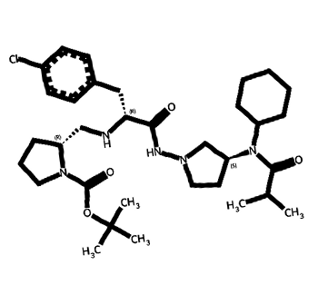 CC(C)C(=O)N(C1CCCCC1)[C@H]1CCN(NC(=O)[C@@H](Cc2ccc(Cl)cc2)NC[C@H]2CCCN2C(=O)OC(C)(C)C)C1